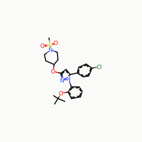 CC(C)(C)Oc1ccccc1-n1nc(OC2CCN(S(C)(=O)=O)CC2)cc1-c1ccc(Cl)cc1